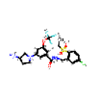 CCS(=O)(=O)c1ccc(Cl)cc1CNC(=O)c1cc(OC(F)(F)F)cc(N2CCC(N)C2)c1